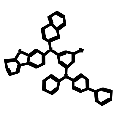 Brc1cc(N(c2ccccc2)c2ccc(-c3ccccc3)cc2)cc(N(c2ccc3ccccc3c2)c2ccc3c(c2)sc2ccccc23)c1